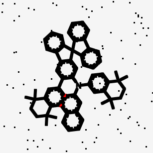 CC1(C)CCC(C)(C)c2cc(-c3cc4c(cc3N(c3ccc5c(c3)C(C)(C)CCC5(C)C)c3ccc5ccccc5c3)C3(c5ccccc5-c5ccccc53)c3ccccc3-4)ccc21